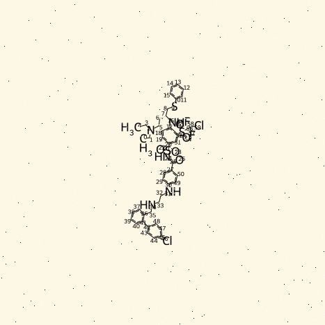 CCN(CC)CC[C@H](CSc1ccccc1)Nc1ccc(S(=O)(=O)NC(=O)c2ccc(NCCNCc3ccccc3-c3ccc(Cl)cc3)cc2)cc1S(=O)(=O)C(F)(F)Cl